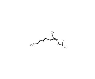 CCCCCC/C(C)=N\NC(=O)O